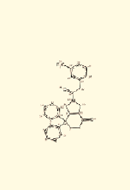 O=C1CCC(c2ccccc2)(c2ccccc2)C2CN(C(=O)Cc3cccc(C(F)(F)F)c3)CC12